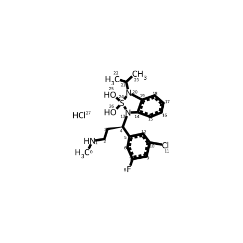 CNCC[C@H](c1cc(F)cc(Cl)c1)N1c2ccccc2N(C(C)C)S1(O)O.Cl